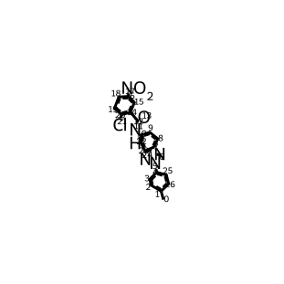 Cc1ccc(-n2nc3ccc(NC(=O)c4cc([N+](=O)[O-])ccc4Cl)cc3n2)cc1